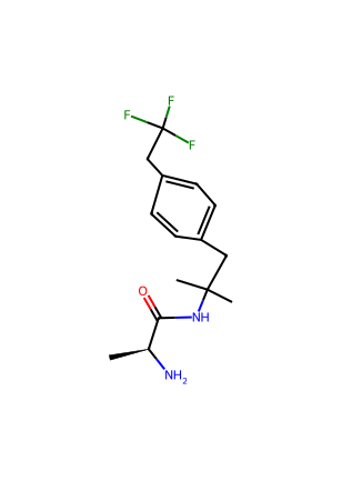 C[C@H](N)C(=O)NC(C)(C)Cc1ccc(CC(F)(F)F)cc1